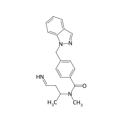 CC(CC=N)N(C)C(=O)c1ccc(Cn2ncc3ccccc32)cc1